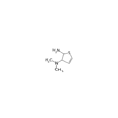 CN(C)C1C=CSC1N